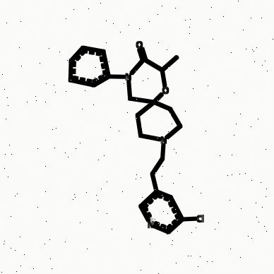 CC1OC2(CCN(CCc3cncc(Cl)c3)CC2)CN(c2ccccc2)C1=O